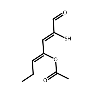 CC/C=C(/C=C(\S)C=O)OC(C)=O